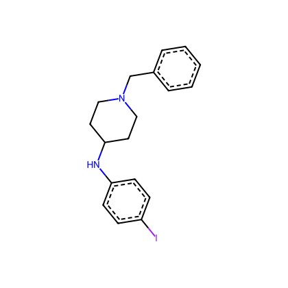 Ic1ccc(NC2CCN(Cc3ccccc3)CC2)cc1